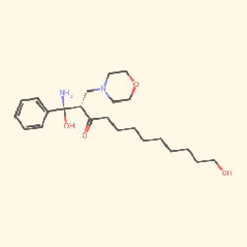 N[C@@](O)(c1ccccc1)[C@H](CN1CCOCC1)C(=O)CCCCCCCCCO